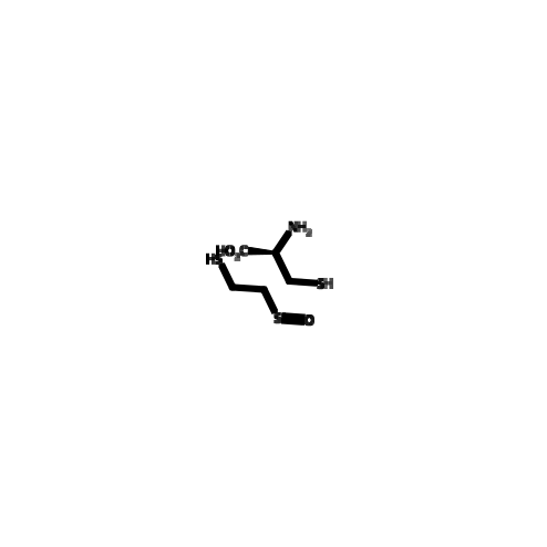 N[C@@H](CS)C(=O)O.O=[S+]CCS